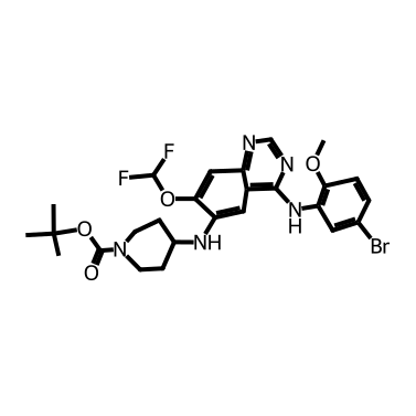 COc1ccc(Br)cc1Nc1ncnc2cc(OC(F)F)c(NC3CCN(C(=O)OC(C)(C)C)CC3)cc12